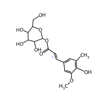 COc1cc(/C=C/C(=O)OC2OC(CO)C(O)C(O)C2O)cc(C)c1O